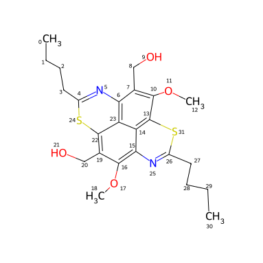 CCCCC1=Nc2c(CO)c(OC)c3c4c(c(OC)c(CO)c(c24)S1)N=C(CCCC)S3